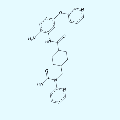 Nc1ccc(Oc2cccnc2)cc1NC(=O)C1CCC(CN(C(=O)O)c2ccccn2)CC1